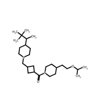 CC(C)OCCC1CCN(C(=O)C2CC(CN3CCC(C(C)C(C)(C)C)CC3)C2)CC1